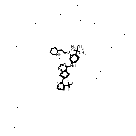 CC(C)(C)c1ccc(Nc2ncnc3cc(-c4ncccc4C(F)(F)F)ccc23)cc1OCCC1CCCCN1